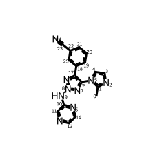 Cc1nccn1-c1nn(Nc2cnccn2)nc1-c1cccc(C#N)c1